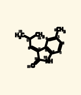 Cc1ccc2c(c1)/C(=C\C(C)C)C(=O)N2